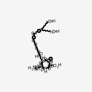 CCCCCCCCCCCCCCCCN(CCCCCCCCCCCCCCCC)c1ccc(/C=C/C(=O)c2ccc(OCCOCCOCCOCC(=O)NCCCC[C@@H]3NC(=O)[C@@H](Cc4ccccc4)NC(=O)[C@H](CC(=O)O)NC(=O)CNC(=O)[C@H](CCCN=C(N)N)NC3=O)cc2)cc1